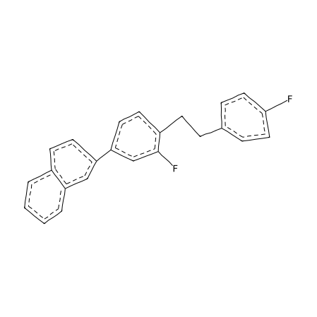 Fc1ccc(CCc2ccc(-c3ccc4ccccc4c3)cc2F)cc1